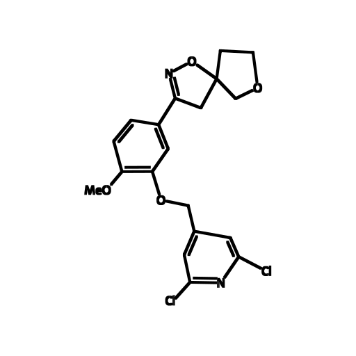 COc1ccc(C2=NOC3(CCOC3)C2)cc1OCc1cc(Cl)nc(Cl)c1